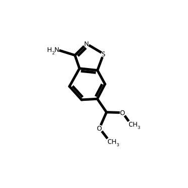 COC(OC)c1ccc2c(N)nsc2c1